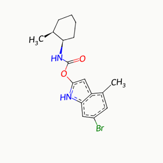 Cc1cc(Br)cc2[nH]c(OC(=O)N[C@@H]3CCCC[C@@H]3C)cc12